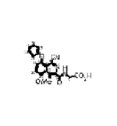 COc1c(C(=O)NCC(=O)O)nc(C#N)c2c(Oc3ccccc3)cccc12